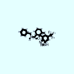 COC1(c2cc(C(F)(F)F)cc3[nH]nnc23)C(C)CCCC1CN(C)Cc1ccccc1